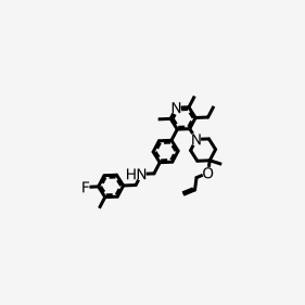 C=CCOC1(C)CCN(c2c(CC)c(C)nc(C)c2-c2ccc(CNCc3ccc(F)c(C)c3)cc2)CC1